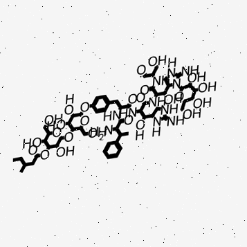 CCC(C)CC(=O)OC1C(O)C(CO)OC(OC2C(CO)OC(Oc3ccc(CC(NC(=O)C(N)C(C)c4ccccc4)C(=O)NC(C(=O)NC(C(=O)NC([C]=O)CO)C(O)C4CNC(=N)N4C4OC(CO)C(O)C(O)C4O)C(O)C4CNC(=N)N4)cc3)C(O)C2O)C1O